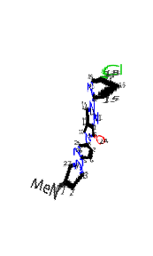 CNC1CCN(c2ccc(N3Cc4cn(-c5ccc(Cl)cn5)nc4C3=O)cn2)C1